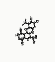 CN(C)c1c(Cl)c(Cl)cc(Oc2cc(C(=O)O)c([N+](=O)[O-])cc2[N+](=O)[O-])c1Cl